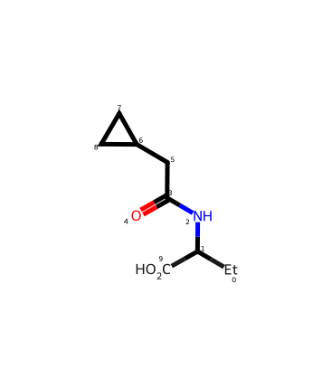 CCC(NC(=O)CC1CC1)C(=O)O